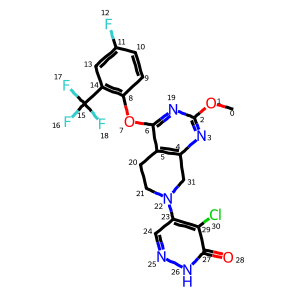 COc1nc2c(c(Oc3ccc(F)cc3C(F)(F)F)n1)CCN(c1cn[nH]c(=O)c1Cl)C2